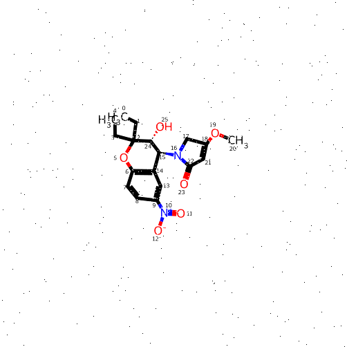 CCC1(CC)Oc2ccc([N+](=O)[O-])cc2[C@H](N2CC(OC)=CC2=O)[C@H]1O